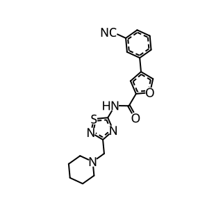 N#Cc1cccc(-c2coc(C(=O)Nc3nc(CN4CCCCC4)ns3)c2)c1